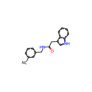 N#Cc1cccc(CNC(=O)Cc2c[nH]c3ccccc23)c1